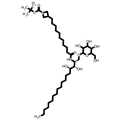 CCCCCCCCCCCCCC[C@@H](O)[C@@H](O)[C@H](COC1OC(CO)C(O)C(O)C1O)NC(=O)CCCCCCCCCCC1CN(C(=O)OC(C)(C)C)C1